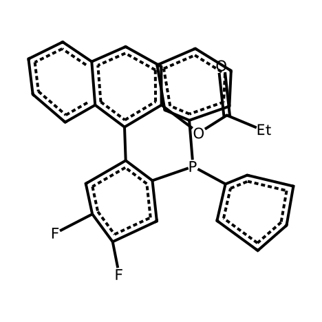 CCC(=O)Oc1ccc2ccccc2c1-c1cc(F)c(F)cc1P(c1ccccc1)c1ccccc1